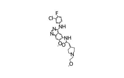 COCCN1CCC(=CC(=O)Nc2cc3c(Nc4ccc(F)c(Cl)c4)ncnc3cc2OC)CC1